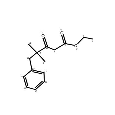 CCOC(=O)CC(=O)C(C)(C)Cc1ccccc1